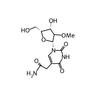 COC1[C@@H](O)[C@@H](CO)O[C@H]1n1cc(CC(N)=O)c(=O)[nH]c1=O